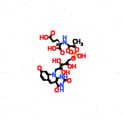 C[C@H](OP(=O)(O)OC[C@@H](O)[C@@H](O)[C@@H](O)Cn1c2cc(=O)ccc-2cc2c(=O)[nH]c(=O)[nH]c21)C(=O)N[C@@H](CCC(=O)O)C(=O)O